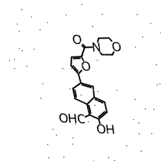 O=Cc1c(O)ccc2cc(-c3ccc(C(=O)N4CCOCC4)o3)ccc12